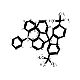 CC(C)(C)c1ccc2c(c1)C1(c3cc(C(C)(C)C)ccc3-2)c2ccccc2-c2c(N(c3ccccc3)c3ccccc3)cccc21